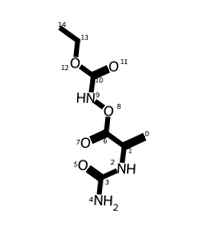 C=C(NC(N)=O)C(=O)ONC(=O)OCC